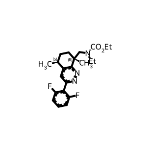 CCOC(=O)N(CC)C[C@@]1(C)CC[C@H](C)c2cc(-c3c(F)cccc3F)nnc21